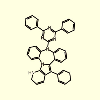 C1=CC(c2c3c(n4c2-c2ccccc2N(c2nc(-c5ccccc5)nc(-c5ccccc5)n2)c2ccccc2-4)NCC=C3)=CCC1